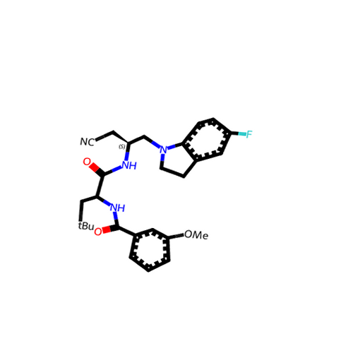 COc1cccc(C(=O)NC(CC(C)(C)C)C(=O)N[C@@H](CC#N)CN2CCc3cc(F)ccc32)c1